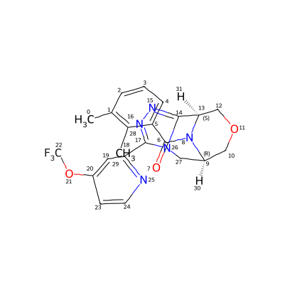 Cc1cccc(C(=O)N2[C@H]3COC[C@@H]2c2nnc(-c4cc(OC(F)(F)F)ccn4)n2C3)c1C